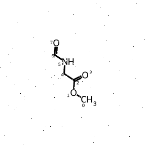 COC(=O)CN[C]=O